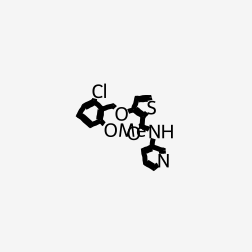 COc1cccc(Cl)c1COc1ccsc1C(=O)Nc1cccnc1